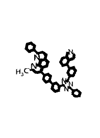 Cc1cc(-c2ccc(-c3cccc(-c4nc(-c5ccccc5)nc(-c5cccc(-c6cccc7cnccc67)c5)n4)c3)cc2)c2ccc3ccc(-c4ccccc4)nc3c2n1